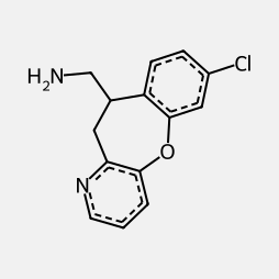 NCC1Cc2ncccc2Oc2cc(Cl)ccc21